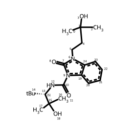 CC(C)(O)CCn1c(=O)n(C(=O)N[C@@H](C(C)(C)C)C(C)(C)O)c2ccccc21